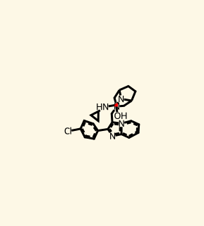 OC(NC1CC1)N1C2CCC1CN(Cc1c(-c3ccc(Cl)cc3)nc3ccccn13)C2